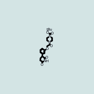 CC(C)(C)OC(=O)N1CCN(C(=O)COc2cccc(C3CCC(=O)NC3=O)c2)CC1